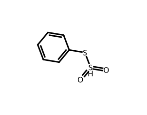 O=[SH](=O)Sc1ccccc1